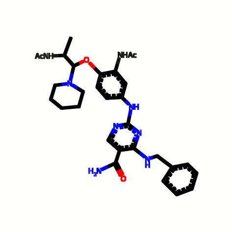 CC(=O)Nc1cc(Nc2ncc(C(N)=O)c(NCc3ccccc3)n2)ccc1OC(C(C)NC(C)=O)N1CCCCC1